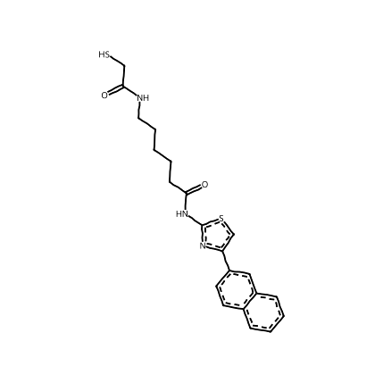 O=C(CS)NCCCCCC(=O)Nc1nc(-c2ccc3ccccc3c2)cs1